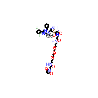 CC(=O)N(CC(CN)CSC1CC(=O)N(CCC(=O)NCCCOCCOCCOCCCNC(=O)CCN2C(=O)C=CC2=O)C1=O)C(c1nc(-c2cc(F)ccc2F)cn1Cc1ccccc1)C(C)(C)C